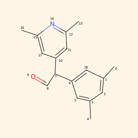 Cc1cc(C)cc(C(C=O)c2cc(C)nc(C)c2)c1